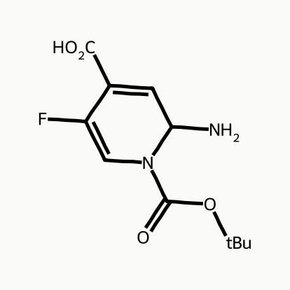 CC(C)(C)OC(=O)N1C=C(F)C(C(=O)O)=CC1N